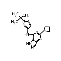 CC(C)(C)n1cc(Nc2nc(C3CCC3)nc3cn[nH]c23)cn1